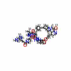 CCn1c(-c2cccnc2[C@H](C)OC)c2c3cc(ccc31)-c1cccc(c1)C[C@H](NC(=O)[C@H](C(C)C)N(C)C(=O)[C@H]1CCN(C(=O)C#CC3(N(C)C)CN(C)C3)C1)C(=O)N1CCC[C@H](N1)C(=O)OCC(C)(C)C2